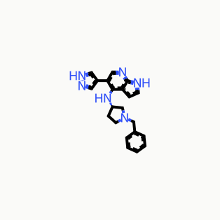 c1ccc(CN2CC[C@@H](Nc3c(-c4cn[nH]c4)cnc4[nH]ccc34)C2)cc1